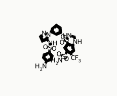 NS(=O)(=O)c1cc2c(cc1C(F)(F)F)NCNS2(=O)=O.Nc1ccc(S(=O)(=O)Nc2ccnn2-c2ccccc2)cc1